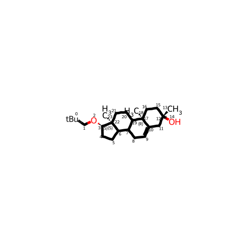 CC(C)(C)CO[C@H]1CCC2C3CC=C4C[C@@](C)(O)CC[C@]4(C)C3CC[C@@]21C